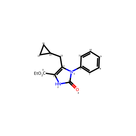 CCOC(=O)c1[nH]c(=O)n(-c2ccccc2)c1CC1CC1